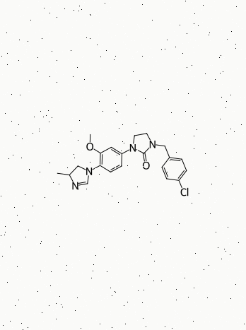 COc1cc(N2CCN(Cc3ccc(Cl)cc3)C2=O)ccc1N1C=NC(C)C1